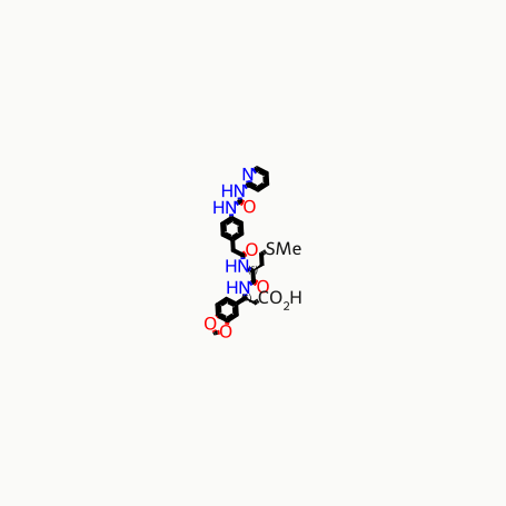 CSCC[C@H](NC(=O)Cc1ccc(NC(=O)Nc2ccccn2)cc1)C(=O)N[C@@H](CC(=O)O)c1ccc2c(c1)OCO2